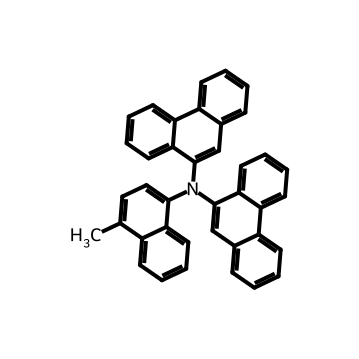 Cc1ccc(N(c2cc3ccccc3c3ccccc23)c2cc3ccccc3c3ccccc23)c2ccccc12